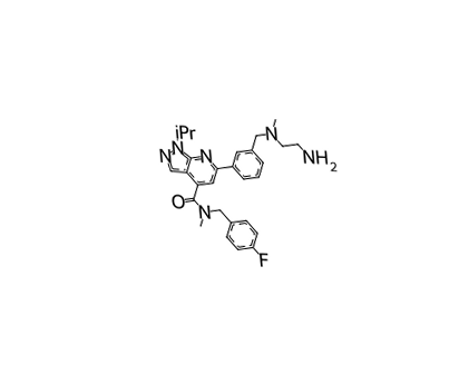 CC(C)n1ncc2c(C(=O)N(C)Cc3ccc(F)cc3)cc(-c3cccc(CN(C)CCN)c3)nc21